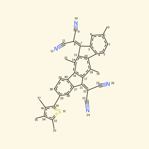 Cc1ccc2c(c1)C(=C(C#N)C#N)c1c(C)c3c(c(C)c1-2)C(=C(C#N)C#N)c1cc(-c2sc(C)c(C)c2C)ccc1-3